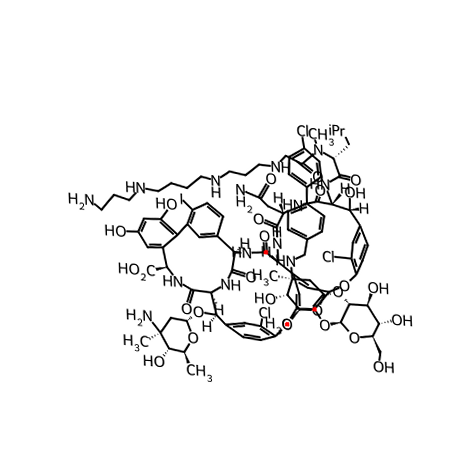 CC(C)C[C@H](C(=O)N[C@H]1C(=O)N[C@@H](CC(N)=O)C(=O)N[C@H]2C(=O)N[C@H]3C(=O)N[C@H](C(=O)N[C@@H](C(=O)O)c4cc(O)cc(O)c4-c4cc3ccc4I)[C@H](O[C@H]3C[C@](C)(N)[C@@H](O)[C@H](C)O3)c3ccc(c(Cl)c3)Oc3cc2cc(c3O[C@@H]2O[C@H](CO)[C@@H](O)[C@H](O)[C@H]2O[C@H]2C[C@](C)(NCc3ccc(-c4ccc(Cl)cc4)cc3)[C@@H](O)[C@H](C)O2)Oc2ccc(cc2Cl)[C@H]1O)N(C)C(=O)CNCCCNCCCCNCCCN